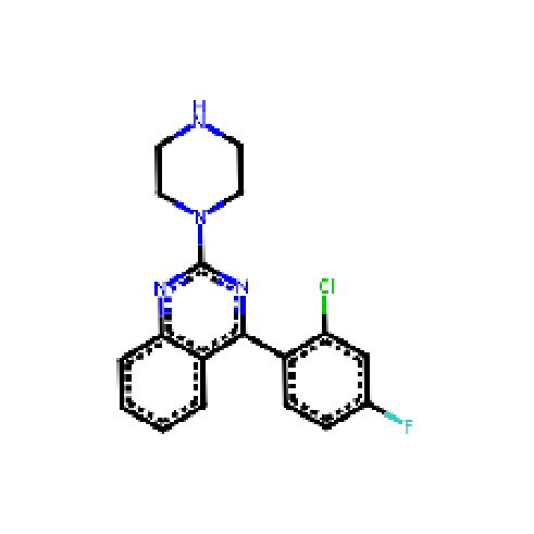 Fc1ccc(-c2nc(N3CCNCC3)nc3ccccc23)c(Cl)c1